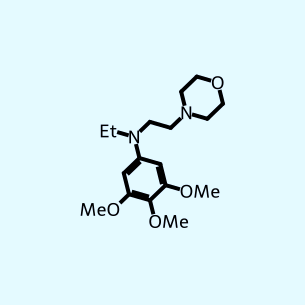 CCN(CCN1CCOCC1)c1cc(OC)c(OC)c(OC)c1